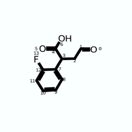 O=CCC(C(=O)O)c1ccccc1F